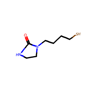 O=C1NCCN1CCCCS